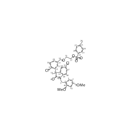 COc1ccc(CN2C(=O)C(C)(c3cc(COCCOS(=O)(=O)c4ccc(C)cc4)ccc3Cl)c3cc(Cl)ccc32)c(OC)c1